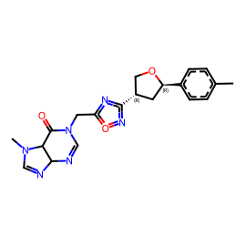 Cc1ccc([C@H]2C[C@H](c3noc(CN4C=NC5N=CN(C)C5C4=O)n3)CO2)cc1